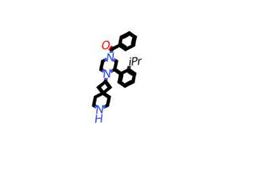 CC(C)c1ccccc1C1CN(C(=O)c2ccccc2)CCN1C1CC2(CCNCC2)C1